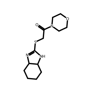 O=C(CSC1=NC2CCCCC2N1)N1CCOCC1